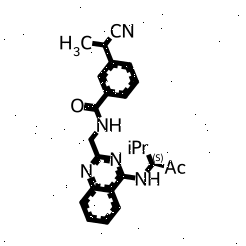 CC(=O)[C@@H](Nc1nc(CNC(=O)c2cccc(C(C)C#N)c2)nc2ccccc12)C(C)C